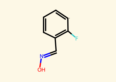 ON=Cc1ccc[c]c1F